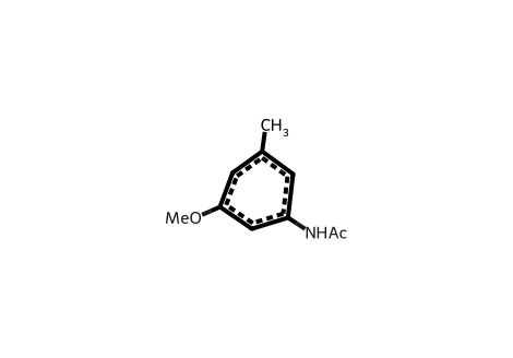 COc1cc(C)cc(NC(C)=O)c1